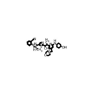 CC(c1cc(CN2CCOCC2)cc(N[C@H]2CC[C@H](O)CC2)n1)C(C)c1ncc(C2=NN(c3ccccc3C#N)NN2C)s1